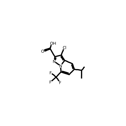 CC(C)c1cc(C(F)(F)F)n2nc(C(=O)O)c(Cl)c2c1